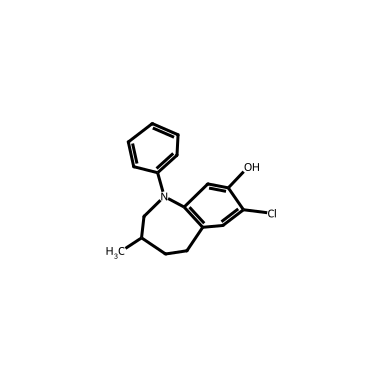 CC1CCc2cc(Cl)c(O)cc2N(c2ccccc2)C1